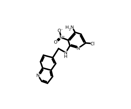 Nc1cc(Cl)nc(NCc2ccc3ncccc3c2)c1[N+](=O)[O-]